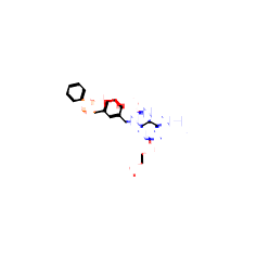 COCCOC1=NC2C(N=C(O)N2Cc2cccc(CP(=O)(O)c3ccccc3)c2)C(N)=N1